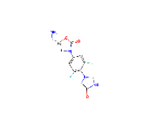 NC[C@H]1CN(c2cc(F)c(N3CNC(=O)C3)c(F)c2)C(=O)O1